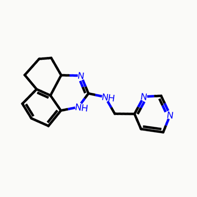 c1cc2c3c(c1)NC(NCc1ccncn1)=NC3CCC2